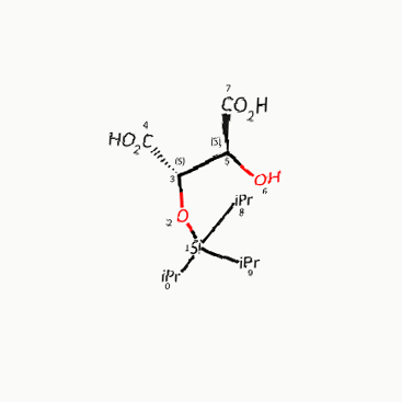 CC(C)[Si](O[C@H](C(=O)O)[C@H](O)C(=O)O)(C(C)C)C(C)C